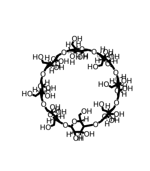 OC[C@H]1OC2OC3[C@@H](CO)OC(OC4[C@@H](CO)OC(OC5[C@@H](CO)OC(OC6[C@@H](CO)OC(O[C@H]7[C@H](O)[C@@H](O)C(O[C@H]8[C@H](O)[C@@H](O)C(O[C@H]9[C@H](O)[C@@H](O)C(OC1[C@H](O)[C@H]2O)O[C@@H]9CO)O[C@@H]8CO)O[C@@H]7CO)[C@H](O)[C@H]6O)[C@H](O)[C@H]5O)[C@H](O)[C@H]4O)[C@H](O)[C@H]3O